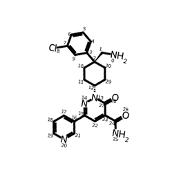 NC[C@]1(c2cccc(Cl)c2)CC[C@@H](n2nc(-c3cccnc3)cc(C(N)=O)c2=O)CC1